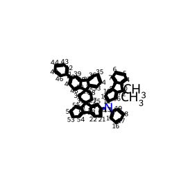 CC1(C)c2ccccc2-c2ccc(N(c3ccccc3)c3ccc4c(c3)C3(CCC5(CC3)c3ccccc3-c3cc(-c6ccccc6)ccc35)c3ccccc3-4)cc21